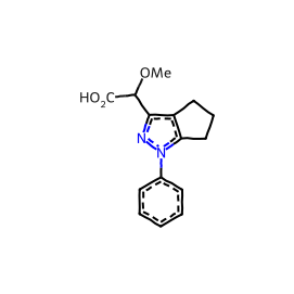 COC(C(=O)O)c1nn(-c2ccccc2)c2c1CCC2